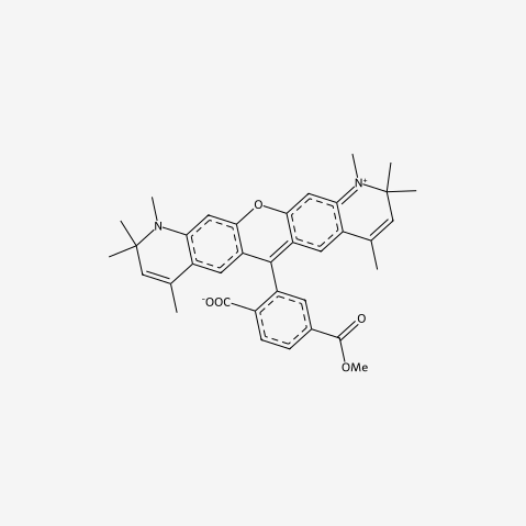 COC(=O)c1ccc(C(=O)[O-])c(C2=c3cc4c(cc3Oc3cc5c(cc32)C(C)=CC(C)(C)N5C)=[N+](C)C(C)(C)C=C4C)c1